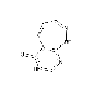 O=c1[nH]cnc2c1C=CC=NN2